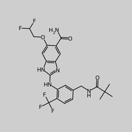 CC(C)(C)C(=O)NCc1ccc(C(F)(F)F)c(Nc2nc3cc(C(N)=O)c(OCC(F)F)cc3[nH]2)c1